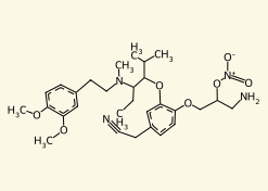 CCC(C(Oc1cc(CC#N)ccc1OCC(CN)O[N+](=O)[O-])C(C)C)N(C)CCc1ccc(OC)c(OC)c1